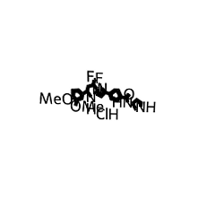 COc1ccc(C2CC(C(F)F)n3nc(-c4ccc(C(=O)NC5CCNC5)cc4)cc3N2)cc1OC.Cl